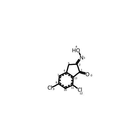 O=C1/C(=N/O)Cc2cc(Cl)cc(Cl)c21